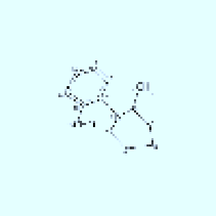 CC1CCCCN1c1ccccc1C=O